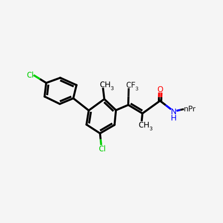 CCCNC(=O)/C(C)=C(/c1cc(Cl)cc(-c2ccc(Cl)cc2)c1C)C(F)(F)F